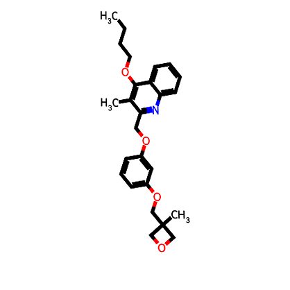 CCCCOc1c(C)c(COc2cccc(OCC3(C)COC3)c2)nc2ccccc12